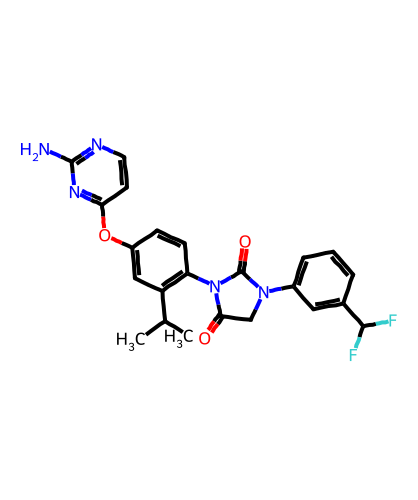 CC(C)c1cc(Oc2ccnc(N)n2)ccc1N1C(=O)CN(c2cccc(C(F)F)c2)C1=O